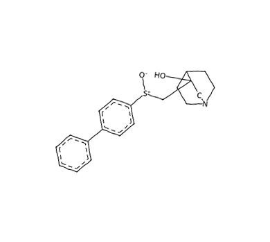 [O-][S+](CC1(O)CN2CCC1CC2)c1ccc(-c2ccccc2)cc1